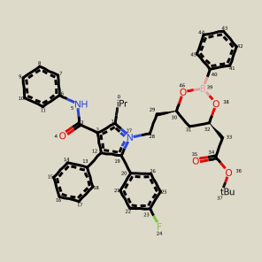 CC(C)c1c(C(=O)Nc2ccccc2)c(-c2ccccc2)c(-c2ccc(F)cc2)n1CC[C@@H]1C[C@H](CC(=O)OC(C)(C)C)OB(c2ccccc2)O1